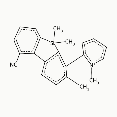 Cc1ccc2c(c1-c1cccc[n+]1C)[Si](C)(C)c1cccc(C#N)c1-2